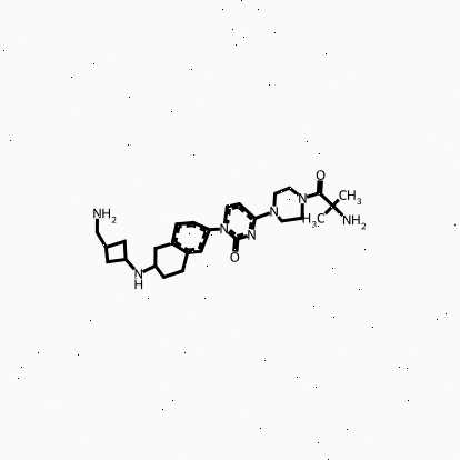 CC(C)(N)C(=O)N1CCN(c2ccn(-c3ccc4c(c3)CCC(NC3CC(CN)C3)C4)c(=O)n2)CC1